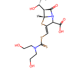 C[C@@H](O)[C@H]1C(=O)N2C(C(=O)O)C(=CSC(=S)N(CCO)CCO)S[C@H]12